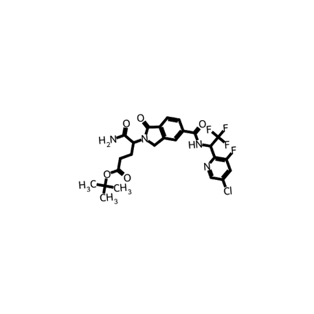 CC(C)(C)OC(=O)CCC(C(N)=O)N1Cc2cc(C(=O)NC(c3ncc(Cl)cc3F)C(F)(F)F)ccc2C1=O